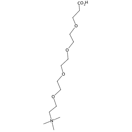 C[N+](C)(C)CCOCCOCCOCCOCCC(=O)O